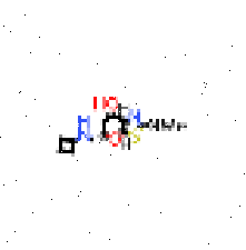 CNC1=N[C@H]2[C@H](O[C@H](CNC3CCC3)C[C@@H]2O)S1